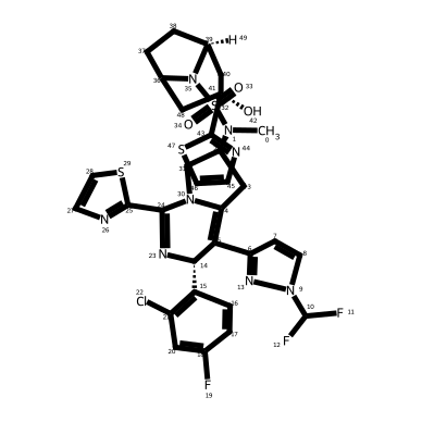 CN([C@H]1CC2=C(c3ccn(C(F)F)n3)[C@H](c3ccc(F)cc3Cl)N=C(c3nccs3)N2C1)S(=O)(=O)N1C2CC[C@H]1C[C@@](O)(c1nccs1)C2